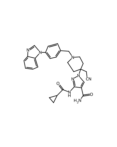 N#CCC1(n2cc(C(N)=O)c(NC(=O)C3CC3)n2)CCN(Cc2ccc(-n3cnc4ccccc43)cc2)CC1